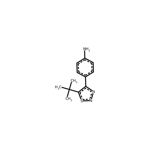 CC(C)(C)c1snnc1-c1ccc(N)cc1